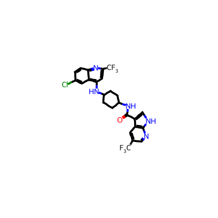 O=C(NC1CCC(Nc2cc(C(F)(F)F)nc3ccc(Cl)cc23)CC1)c1c[nH]c2ncc(C(F)(F)F)cc12